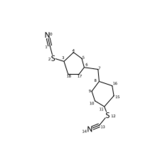 N#CSC1CCC(CC2CCC(SC#N)CC2)CC1